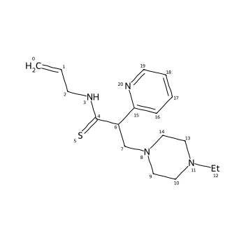 C=CCNC(=S)C(CN1CCN(CC)CC1)c1ccccn1